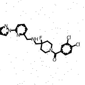 O=C(c1ccc(Cl)c(Cl)c1)N1CCC(F)(CNCc2cccc(-n3cccn3)n2)CC1